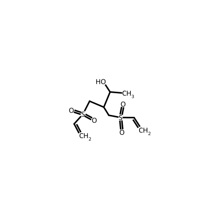 C=CS(=O)(=O)CC(CS(=O)(=O)C=C)C(C)O